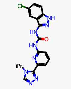 CC(C)n1cnnc1-c1cccc(NC(=O)Nc2n[nH]c3ccc(Cl)cc23)n1